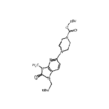 Cn1c(=O)n(CC(C)(C)C)c2ccc(N3CCN(C(=O)OC(C)(C)C)CC3)nc21